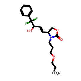 O=C(O)CCOCCCN1C(=O)OCC1C=CC(O)C(F)(F)c1ccccc1